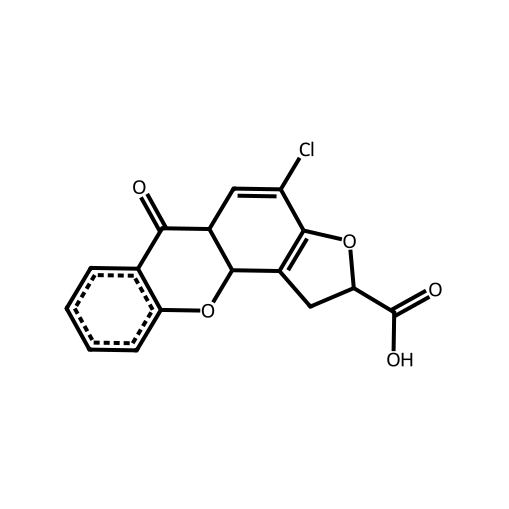 O=C(O)C1CC2=C(O1)C(Cl)=CC1C(=O)c3ccccc3OC21